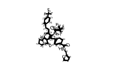 O=C(NCc1ccco1)c1ccc(-c2c(NC(=O)C(F)(F)F)c(CCc3ccc(C(F)(F)F)cc3)nc3c2C(=O)N2CCC[C@@H]32)cc1